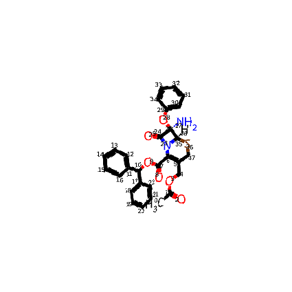 CC(=O)OCC1=C(C(=O)OC(c2ccccc2)c2ccccc2)N2C(=O)[C@@](N)(Oc3ccccc3)[C@H]2SC1